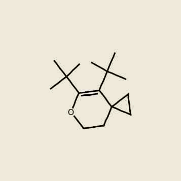 CC(C)(C)C1=C(C(C)(C)C)C2(CCO1)CC2